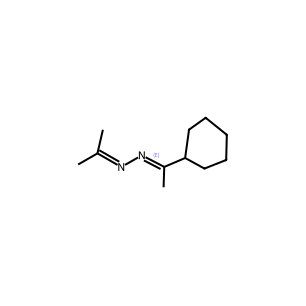 CC(C)=N/N=C(\C)C1CCCCC1